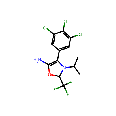 CC(C)N1C(c2cc(Cl)c(Cl)c(Cl)c2)=C(N)OC1C(F)(F)F